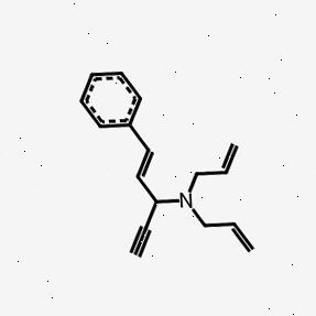 C#CC(C=Cc1ccccc1)N(CC=C)CC=C